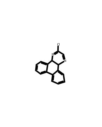 ClC1=NC2c3ccccc3-c3ccccc3C2N=C1